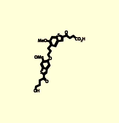 COc1cc2sc(C(=O)CCC(=O)O)cc2cc1CCCOc1cc2cc(C(=O)CCCO)sc2cc1OC